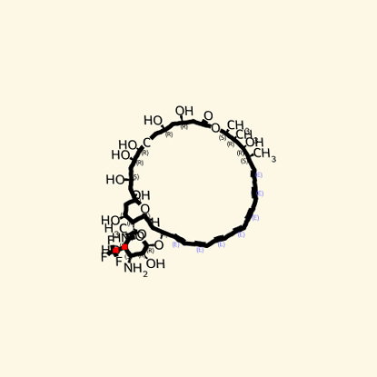 C[C@@H]1[C@H](O)[C@@H](C)/C=C/C=C/C=C/C=C/C=C/C=C/C=C/[C@H](O[C@@H]2O[C@H](C)[C@@H](O)[C@H](N)[C@H]2O)C[C@@H]2O[C@](O)(C[C@@H](O)C[C@@H](O)[C@H](O)CC[C@@H](O)C[C@@H](O)CC(=O)O[C@H]1C)C[C@H](O)[C@H]2C(=O)NCC(F)(F)F